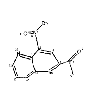 CC(=O)c1cc([N+](=O)[O-])c2ncccc2c1